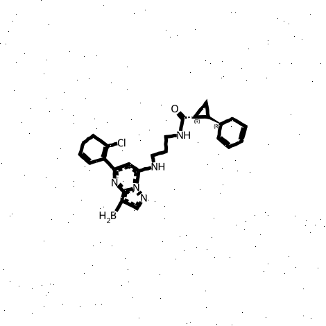 Bc1cnn2c(NCCCNC(=O)[C@@H]3CC3[C@@H]3C=CC=CC3)cc(C3=C(Cl)CCC=C3)nc12